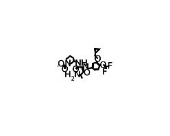 COC(=O)N1CCCC(NC(=O)c2nc(-c3ccc(OC(F)F)c(OCC4CC4)c3)oc2C(C)N)C1